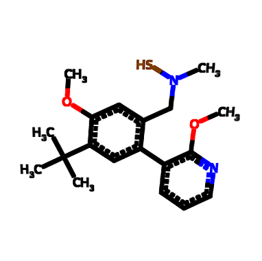 COc1cc(CN(C)S)c(-c2cccnc2OC)cc1C(C)(C)C